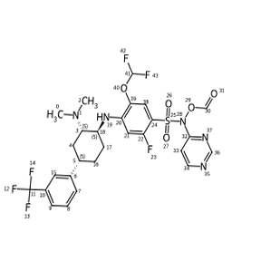 CN(C)[C@H]1C[C@@H](c2cccc(C(F)(F)F)c2)CC[C@@H]1Nc1cc(F)c(S(=O)(=O)N(OC=O)c2ccncn2)cc1OC(F)F